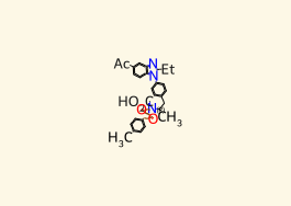 CCc1nc2cc(C(C)=O)ccc2n1-c1ccc(C[C@@H](C)N(C(=O)O)S(=O)(=O)c2ccc(C)cc2)cc1